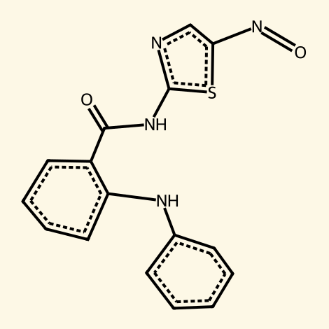 O=Nc1cnc(NC(=O)c2ccccc2Nc2ccccc2)s1